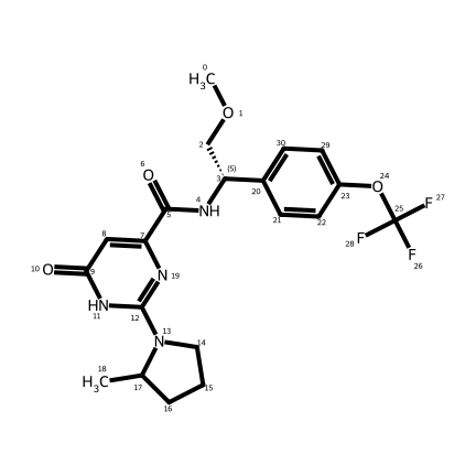 COC[C@@H](NC(=O)c1cc(=O)[nH]c(N2CCCC2C)n1)c1ccc(OC(F)(F)F)cc1